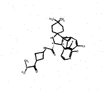 CN(C)C(=O)C1CC(NC(=O)[C@@H]2NC3(CCC(C)(C)CC3)[C@@]3(CNc4cc(Cl)ccc43)[C@H]2c2ccnc(Cl)c2F)C1